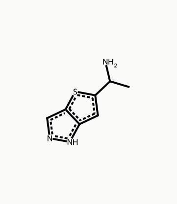 CC(N)c1cc2[nH]ncc2s1